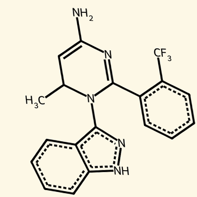 CC1C=C(N)N=C(c2ccccc2C(F)(F)F)N1c1n[nH]c2ccccc12